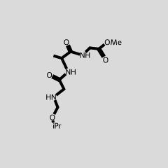 COC(=O)CNC(=O)C(C)NC(=O)CNCOC(C)C